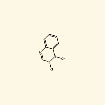 ON1c2ccccc2N=CN1Cl